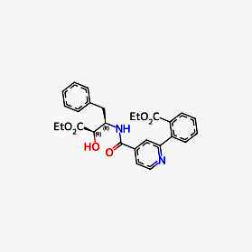 CCOC(=O)c1ccccc1-c1cc(C(=O)N[C@H](Cc2ccccc2)[C@@H](O)C(=O)OCC)ccn1